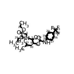 CCOP(=O)(CNC(=O)[C@H](CC(C)C)OC(=O)Nc1ccc(C(F)(F)F)cc1)OCC